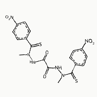 CN(NC(=O)C(=O)NN(C)C(=S)c1ccc([N+](=O)[O-])cc1)C(=S)c1ccc([N+](=O)[O-])cc1